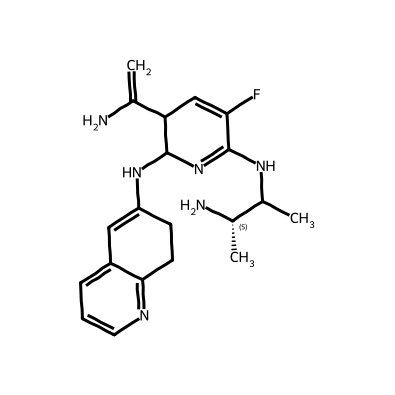 C=C(N)C1C=C(F)C(NC(C)[C@H](C)N)=NC1NC1=Cc2cccnc2CC1